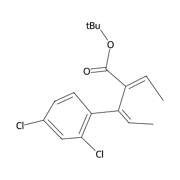 C/C=C(C(=O)OC(C)(C)C)\C(=C/C)c1ccc(Cl)cc1Cl